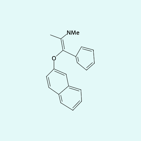 CNC(C)=C(Oc1ccc2ccccc2c1)c1ccccc1